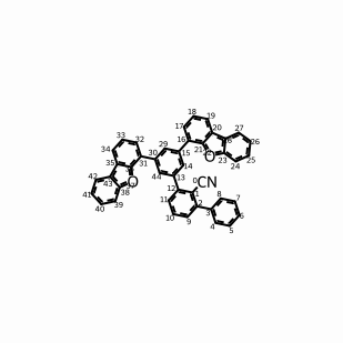 N#Cc1c(-c2ccccc2)cccc1-c1cc(-c2cccc3c2oc2ccccc23)cc(-c2cccc3c2oc2ccccc23)c1